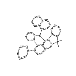 CC1(C)c2ccccc2-c2c(N(c3ccccc3-c3ccccc3-c3ccccc3)c3cccc4ccccc34)cccc21